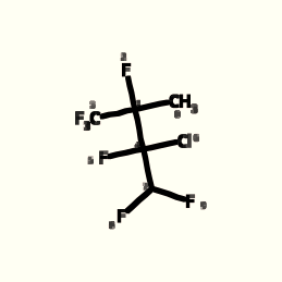 CC(F)(C(F)(F)F)C(F)(Cl)C(F)F